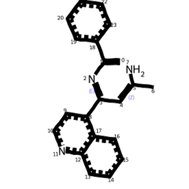 C=C(/N=C(\C=C(\C)N)c1ccnc2ccccc12)c1ccccc1